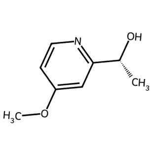 COc1ccnc([C@@H](C)O)c1